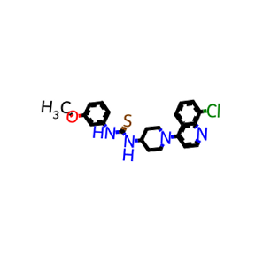 COc1cccc(NC(=S)NC2CCN(c3ccnc4c(Cl)cccc34)CC2)c1